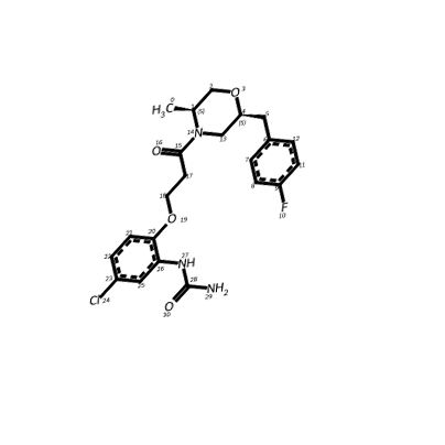 C[C@H]1CO[C@@H](Cc2ccc(F)cc2)CN1C(=O)CCOc1ccc(Cl)cc1NC(N)=O